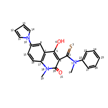 CN(C(=S)c1c(O)c2cc(-n3cccc3)ccc2n(C)c1=O)c1ccccc1